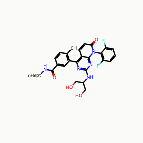 CCCCCCCNC(=O)c1ccc(C)c(-c2nc(NC(CO)CO)nc3c2ccc(=O)n3-c2c(F)cccc2F)c1